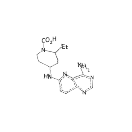 CCC1CC(Nc2ccc3ncnc(N)c3n2)CCN1C(=O)O